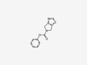 O=C(Oc1ccccc1)N1Cc2ncsc2C1